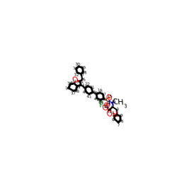 CN(C(Cc1ccccc1)C(=O)O)S(=O)(=O)c1ccc(-c2ccc(-c3c(Cc4ccccc4)oc4ccccc34)cc2)cc1F